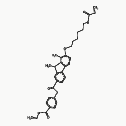 C=COC(=O)c1ccc(SC(=O)c2ccc3c(c2)C(C)c2c-3ccc(OCCCCCCSC(=O)C=C)c2C)cc1